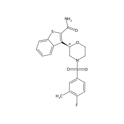 Cc1cc(S(=O)(=O)N2CCO[C@H](c3c(C(N)=O)sc4ccccc34)C2)ccc1F